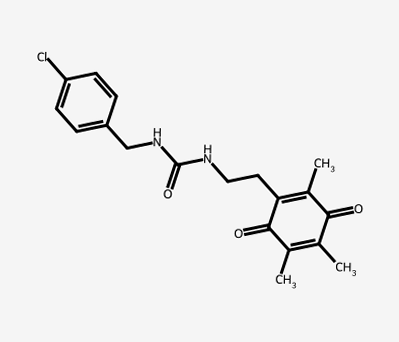 CC1=C(C)C(=O)C(CCNC(=O)NCc2ccc(Cl)cc2)=C(C)C1=O